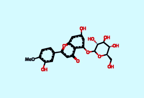 COc1ccc(-c2cc(=O)c3c(OC4O[C@H](CO)[C@@H](O)[C@H](O)[C@H]4O)cc(O)cc3o2)cc1O